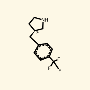 FC(F)(F)c1ccc(C[C@H]2CCNC2)cc1